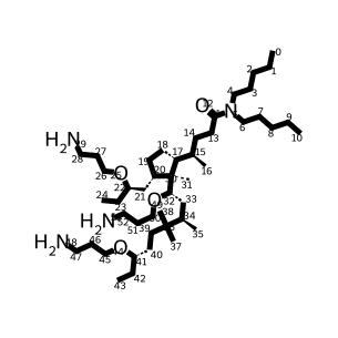 CCCCCN(CCCCC)C(=O)CC[C@@H](C)[C@H]1CC[C@@H](C[C@@H](CC)OCCCN)[C@]1(C)[C@H](C[C@@H](C)C(C)(C)CC[C@H](CC)OCCCN)OCCCN